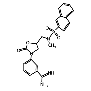 CN(CC1CN(c2cccc(C(=N)N)c2)C(=O)O1)S(=O)(=O)c1ccc2ccccc2c1